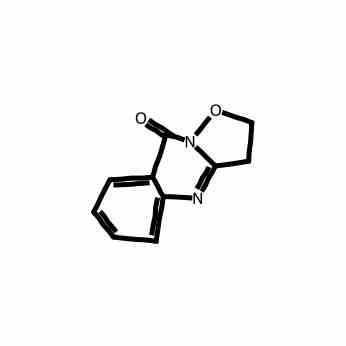 O=c1c2ccccc2nc2n1OCC2